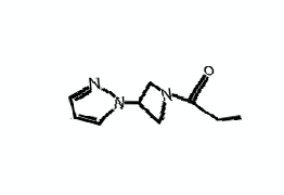 CCC(=O)N1CC(n2c[c]cn2)C1